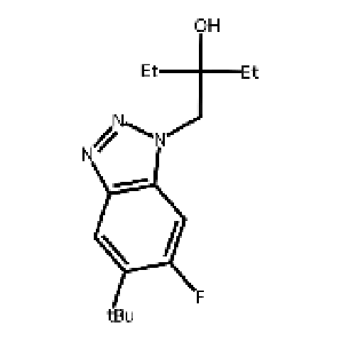 CCC(O)(CC)Cn1nnc2cc(C(C)(C)C)c(F)cc21